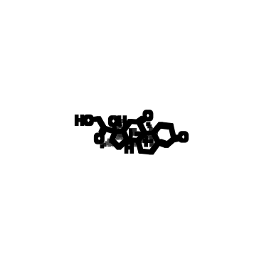 C[C@H]1C[C@H]2[C@@H]3CCC4=CC(=O)C=C[C@]4(C)[C@@]3(F)C(=O)C[C@]2(C)[C@@]1(O)C(=O)CO